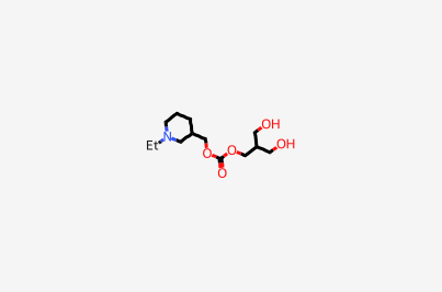 CCN1CCCC(COC(=O)OCC(CO)CO)C1